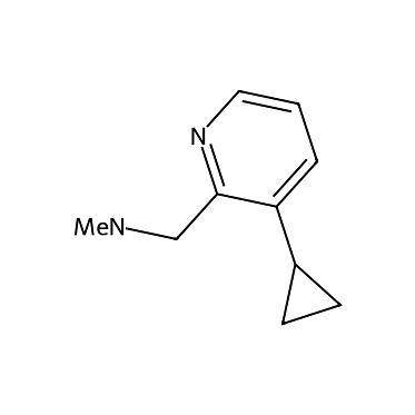 CNCc1ncccc1C1CC1